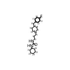 O=C(NCCCN1CCC(Cc2ccc(F)cc2)CC1)NC1CCCCC1